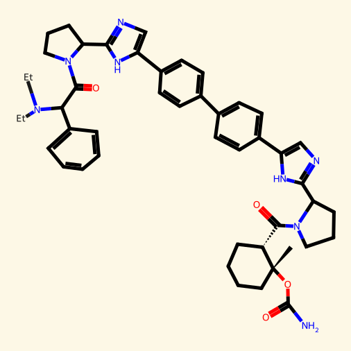 CCN(CC)C(C(=O)N1CCCC1c1ncc(-c2ccc(-c3ccc(-c4cnc(C5CCCN5C(=O)[C@H]5CCCC[C@@]5(C)OC(N)=O)[nH]4)cc3)cc2)[nH]1)c1ccccc1